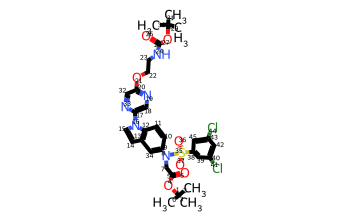 CC(C)(C)OC(=O)CN(c1ccc2c(ccn2-c2cnc(OCCNC(=O)OC(C)(C)C)cn2)c1)S(=O)(=O)c1cc(Cl)cc(Cl)c1